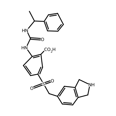 CC(NC(=O)Nc1ccc(S(=O)(=O)Cc2ccc3c(c2)CNC3)cc1C(=O)O)c1ccccc1